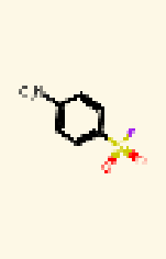 O=[N+]([O-])c1ccc(S(=O)(=O)I)cc1